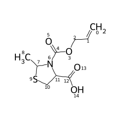 C=CCOC(=O)N1C(C)SCC1C(=O)O